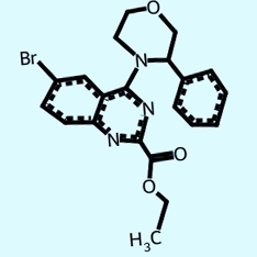 CCOC(=O)c1nc(N2CCOCC2c2ccccc2)c2cc(Br)ccc2n1